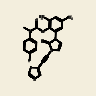 CN(C(=O)Oc1c(-n2ccn(C#Cc3cncs3)c2=O)cc(C(F)(F)F)cc1C(F)(F)F)c1ccc(F)cc1